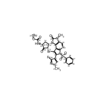 Cn1cc(-c2c(Br)c3c(ncc4c3n([C@@H]3CC(=O)[C@@H](NC(=O)OC(C)(C)C)C3)c(=O)n4C)n2S(=O)(=O)c2ccccc2)c(F)n1